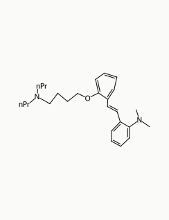 CCCN(CCC)CCCCOc1ccccc1C=Cc1ccccc1N(C)C